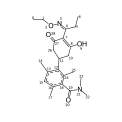 CCO/N=C(/CC)C1=C(O)CC(c2c(C)cc(C)c(C(=O)N(C)C)c2C)CC1=O